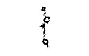 Clc1ccc(COCC[C@H]2C[C@@H]2c2cncc(OC[C@@H]3CCN3)c2)cc1